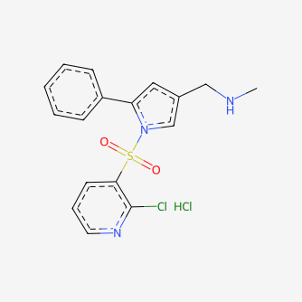 CNCc1cc(-c2ccccc2)n(S(=O)(=O)c2cccnc2Cl)c1.Cl